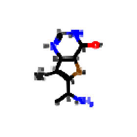 CC(N)c1sc2c(=O)[nH]cnc2c1C#N